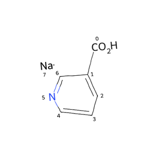 O=C(O)c1cccnc1.[Na]